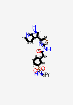 CC(C)NS(=O)(=O)c1cccc(CC(=O)Nc2nc(-c3c[nH]c4ncccc34)cs2)c1